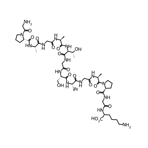 CC(C)[C@H](NC(=O)[C@H](CO)NC(=O)CNC(=O)[C@@H](NC(=O)[C@H](C)NC(=O)CNC(=O)[C@H](C)NC(=O)[C@@H]1CCCN1C(=O)CN)[C@@H](C)O)C(=O)NCC(=O)N[C@@H](C)C(=O)N1CCC[C@H]1C(=O)NCC(=O)N[C@@H](CCCCN)C(=O)O